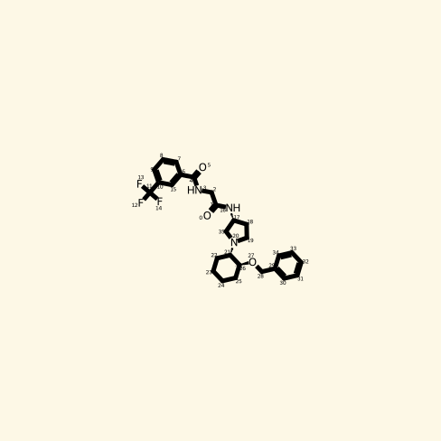 O=C(CNC(=O)c1cccc(C(F)(F)F)c1)N[C@@H]1CCN([C@H]2CCCC[C@@H]2OCc2ccccc2)C1